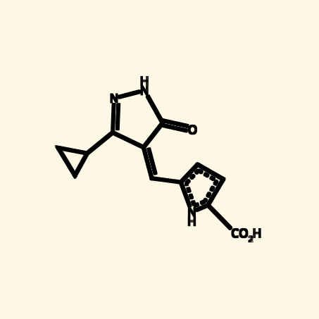 O=C1NN=C(C2CC2)C1=Cc1ccc(C(=O)O)[nH]1